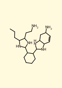 CCCC1NC(C2CCCCC2C2NC3C=CC(N)CC3N2)NC1CCN